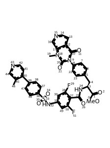 COC(=O)[C@H](Cc1ccc(-n2c(=O)c3ccncc3n(C)c2=O)cc1)NC(=O)c1c(F)cc(NS(=O)(=O)c2ccc(-c3ccncc3C)cc2)cc1F